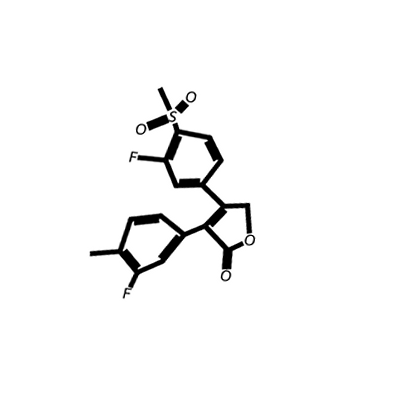 Cc1ccc(C2=C(c3ccc(S(C)(=O)=O)c(F)c3)COC2=O)cc1F